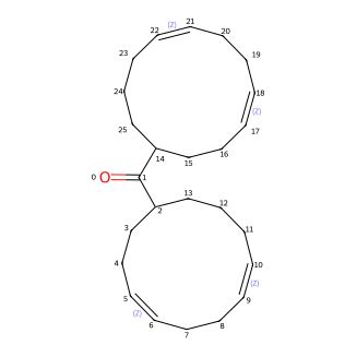 O=C(C1CC/C=C\CC/C=C\CCC1)C1CC/C=C\CC/C=C\CCC1